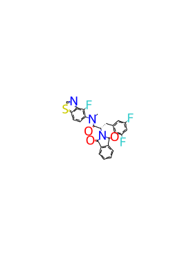 CN(C(=O)[C@H](Cc1cc(F)cc(F)c1)N1C(=O)c2ccccc2C1=O)c1ccc2scnc2c1F